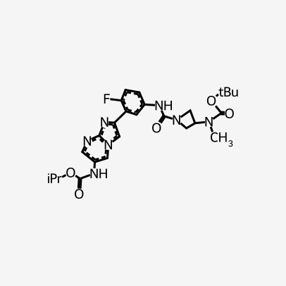 CC(C)OC(=O)Nc1cnc2nc(-c3cc(NC(=O)N4CC(N(C)C(=O)OC(C)(C)C)C4)ccc3F)cn2c1